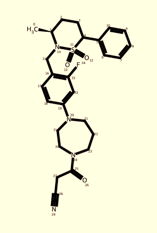 C[C@H]1CCC(c2ccccc2)S(=O)(=O)N1Cc1ccc(N2CCCN(C(=O)CC#N)CC2)cc1F